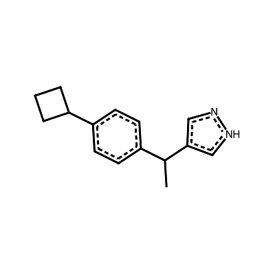 CC(c1ccc(C2CCC2)cc1)c1cn[nH]c1